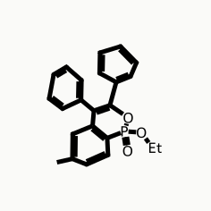 CCOP1(=O)OC(c2ccccc2)=C(c2ccccc2)c2cc(C)ccc21